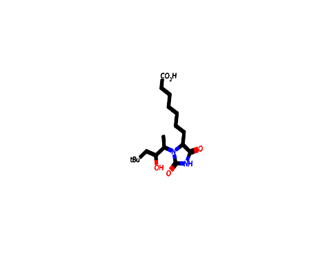 CC(C(O)CC(C)(C)C)N1C(=O)NC(=O)C1CCCCCCC(=O)O